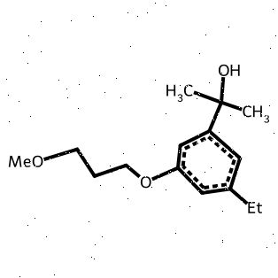 CCc1cc(OCCCOC)cc(C(C)(C)O)c1